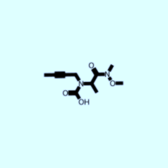 CC#CCN(C(=O)O)C(C)C(=O)N(C)OC